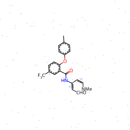 CN/C=C\C(=C/C=O)NC(=O)c1cc(C(F)(F)F)ccc1Oc1ccc(C)cc1